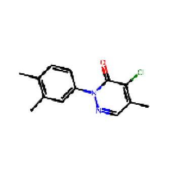 Cc1ccc(-n2ncc(C)c(Cl)c2=O)cc1C